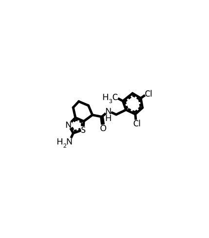 Cc1cc(Cl)cc(Cl)c1CNC(=O)C1CCCc2nc(N)sc21